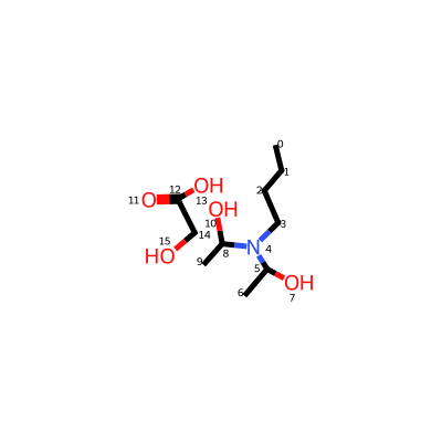 CCCCN(C(C)O)C(C)O.O=C(O)CO